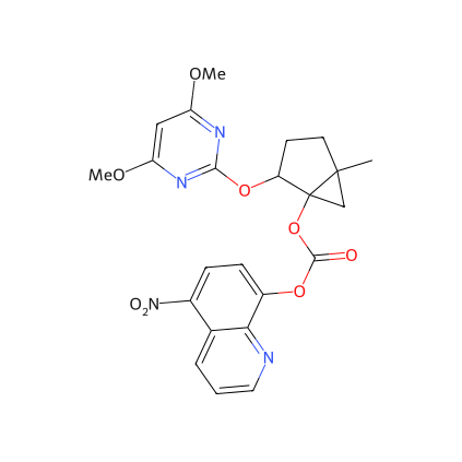 COc1cc(OC)nc(OC2CCC3(C)CC23OC(=O)Oc2ccc([N+](=O)[O-])c3cccnc23)n1